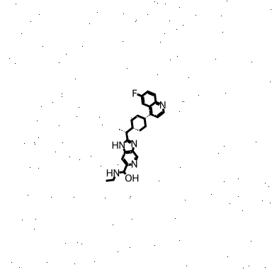 CCNC(O)c1cc2[nH]c([C@H](C)[C@H]3CC[C@@H](c4ccnc5ccc(F)cc54)CC3)nc2cn1